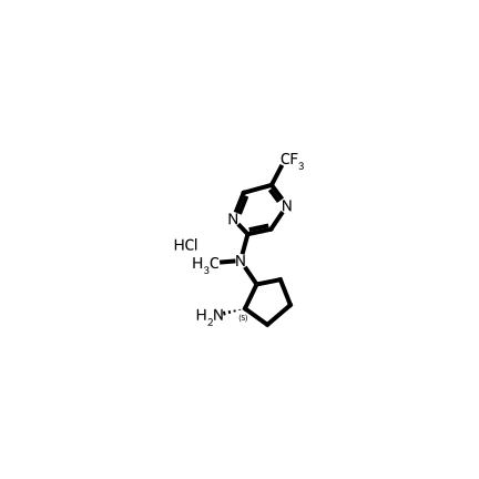 CN(c1cnc(C(F)(F)F)cn1)C1CCC[C@@H]1N.Cl